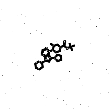 CC1CN(C(=O)OC(C)(C)C)CCN1c1ncnc2c1c(N1CCCC1)cn2C1CCCCC1